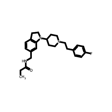 CCC(=O)NCc1ccc2c(c1)N(C1CCN(CCc3ccc(F)cc3)CC1)CC2